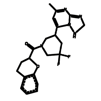 CC1=NC2=NCNN2C(C2CN(C(=O)C3CCc4ccccc4O3)CC(F)(F)C2)=C1